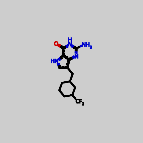 Nc1nc2c(CC3CCCC(C(F)(F)F)C3)c[nH]c2c(=O)[nH]1